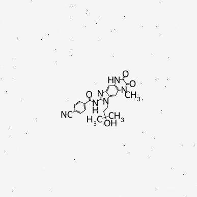 Cn1c(=O)c(=O)[nH]c2cc3nc(NC(=O)c4ccc(C#N)cc4)n(CCC(C)(C)O)c3cc21